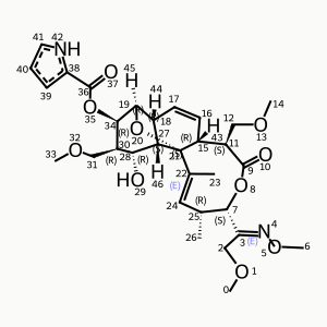 COC/C(=N\OC)[C@H]1OC(=O)[C@H](COC)[C@H]2C=C[C@H]3[C@H]4O[C@]2(/C(C)=C/[C@H]1C)[C@@H]3[C@H](O)[C@@H](COC)[C@H]4OC(=O)c1ccc[nH]1